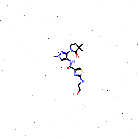 Cn1cc(NC(=O)c2csc(NCCO)n2)c(N2CCC(C)(C)C2=O)n1